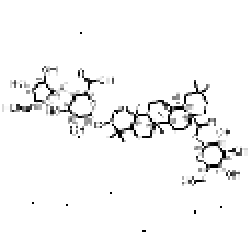 CC1(C)CC[C@]2(C(=O)O[C@@H]3O[C@H](CO)[C@@H](O)[C@H](O)[C@H]3O)CC[C@]3(C)C(=CCC4[C@@]5(C)CCC(O[C@H]6O[C@H](C(=O)O)[C@@H](O[C@@H]7O[C@@H](CO)[C@H](O)[C@H]7O)[C@H](O)[C@H]6O)C(C)(C)C5CC[C@]43C)[C@H]2C1